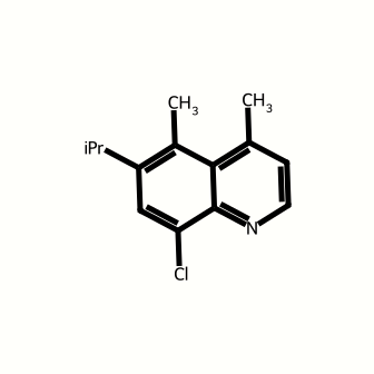 Cc1ccnc2c(Cl)cc(C(C)C)c(C)c12